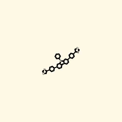 c1ccc(-n2c3cc(-c4ccc(-c5cocn5)cc4)ccc3c3ccc(-c4ccc(-c5cocn5)cc4)cc32)cc1